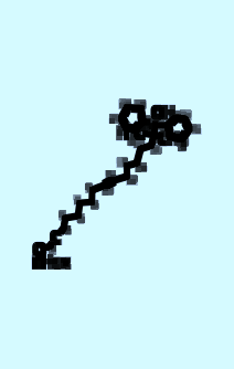 CCCCCCOCCCCCCCCC#CCCCCCC(C)(C)[Si](O)(c1ccccc1)c1ccccc1